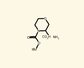 CC(C)(C)OC(=O)N1CCOCC1C(=O)O.N